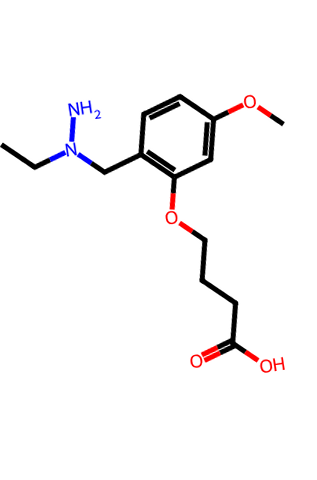 CCN(N)Cc1ccc(OC)cc1OCCCC(=O)O